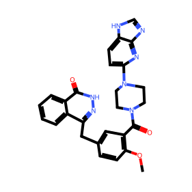 COc1ccc(Cc2n[nH]c(=O)c3ccccc23)cc1C(=O)N1CCN(c2ccc3[nH]cnc3n2)CC1